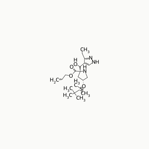 C=CCOC(=O)[C@@]1(C(O)c2c[nH]nc2CC)C[C@@H](O[Si](C)(C)C(C)(C)C)CN1